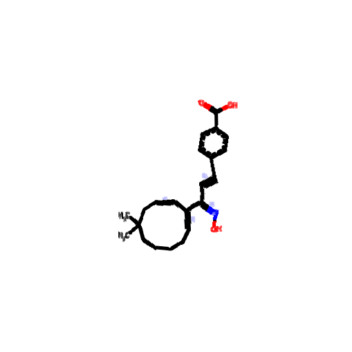 CC1(C)C\C=C/C(C(/C=C/c2ccc(C(=O)O)cc2)=N\O)=C\CCCC1